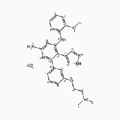 COc1ccccc1Nc1nc(N)nc(-c2cccc(OCCN(C)C)c2)c1-c1cn[nH]c1.Cl